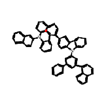 c1ccc(-c2cc(-c3cccc4ccccc34)cc(-n3c4ccccc4c4cc(-c5ccccc5-c5ccccc5N(c5ccccc5)c5ccc6ccccc6c5)ccc43)c2)cc1